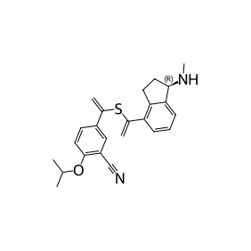 C=C(SC(=C)c1cccc2c1CC[C@H]2NC)c1ccc(OC(C)C)c(C#N)c1